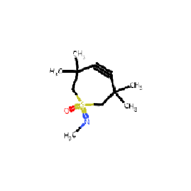 CN=S1(=O)CC(C)(C)C#CC(C)(C)C1